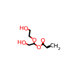 C=CC(=O)OC(CO)OCCO